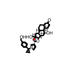 C[C@]12C=CC(=O)C=C1CC[C@@H]1[C@@H]2[C@@H](O)C[C@@]2(C)[C@H]1C[C@H]1O[C@@H](c3ccn(C4(c5ccc(CO)cc5)CC4)c3)O[C@]12C(=O)CO